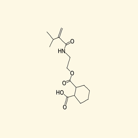 C=C(C(=O)NCCOC(=O)C1CCCCC1C(=O)O)C(C)C